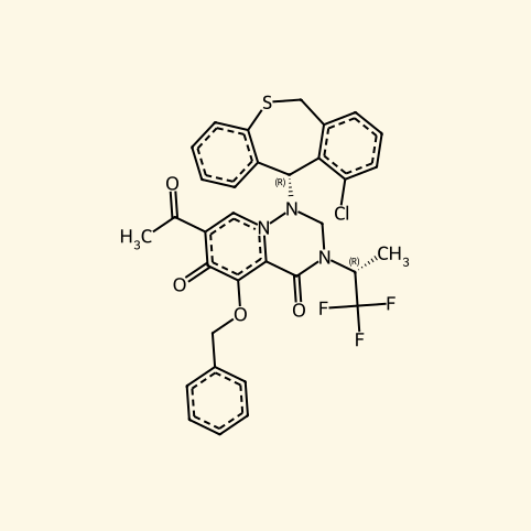 CC(=O)c1cn2c(c(OCc3ccccc3)c1=O)C(=O)N([C@H](C)C(F)(F)F)CN2[C@@H]1c2ccccc2SCc2cccc(Cl)c21